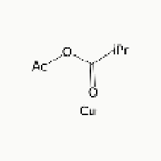 CC(=O)OC(=O)C(C)C.[Cu]